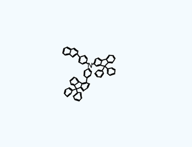 c1ccc(C2(c3ccccc3)c3ccccc3-c3ccc(N(c4ccc(-c5ccc6ccccc6c5)cc4)c4ccc(-c5cccc6c5-c5ccccc5C6(c5ccccc5)c5ccccc5)cc4)cc32)cc1